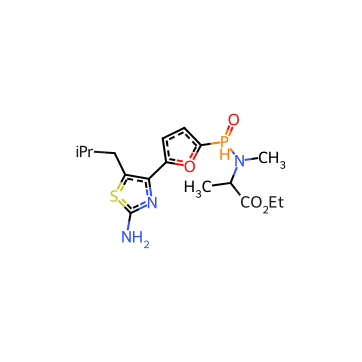 CCOC(=O)C(C)N(C)[PH](=O)c1ccc(-c2nc(N)sc2CC(C)C)o1